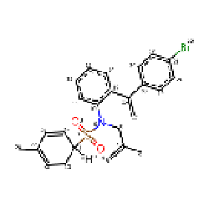 [2H]C1(S(=O)(=O)N(CC(=C)C)c2ccccc2C(=C)c2ccc(Br)cc2)C=CC(C)=CC1